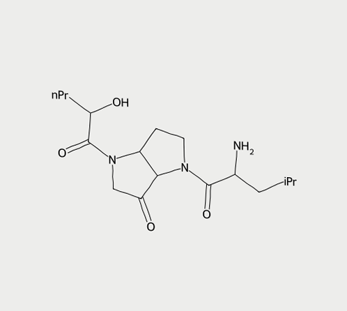 CCCC(O)C(=O)N1CC(=O)C2C1CCN2C(=O)C(N)CC(C)C